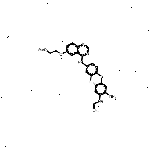 C=CNc1ccc(Oc2ccc(Nc3ncnc4ccc(OCCOC)cc34)cc2C)cc1N